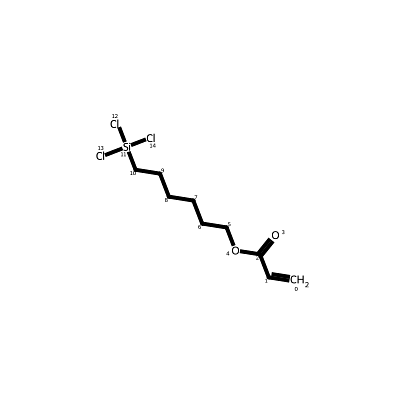 C=CC(=O)OCCCCCC[Si](Cl)(Cl)Cl